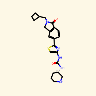 O=C(Nc1csc(-c2ccc3c(c2)CN(CC2CCC2)C3=O)n1)N[C@H]1CCCNC1